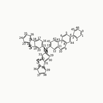 c1ccc(-c2ccc3c(ccc4cc(N(c5ccc6c(c5)sc5ccccc56)c5ccc6c(c5)sc5ccccc56)ccc43)c2)cc1